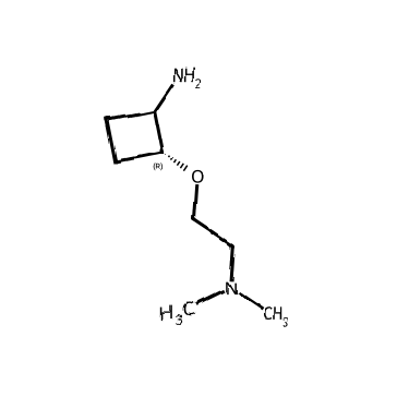 CN(C)CCO[C@@H]1CCC1N